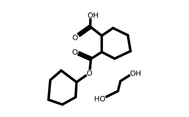 O=C(O)C1CCCCC1C(=O)OC1CCCCC1.OCCO